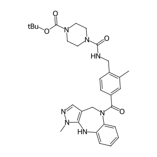 Cc1cc(C(=O)N2Cc3cnn(C)c3Nc3ccccc32)ccc1CNC(=O)N1CCN(C(=O)OC(C)(C)C)CC1